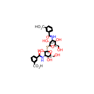 O=C(O)c1cccc(C(=O)N[C@H]2[C@@H](O)[C@@H](CO)O[C@@H](S[C@@H]3O[C@H](CO)[C@H](O)[C@H](NC(=O)c4cccc(C(=O)O)c4)[C@H]3O)[C@@H]2O)c1